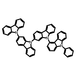 c1ccc(-n2c3ccccc3c3c(-n4c5ccccc5c5ccc(-n6c7ccccc7c7ccc(-n8c9ccccc9c9ccccc98)cc76)cc54)cccc32)cc1